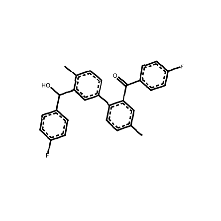 Cc1ccc(-c2ccc(C)c(C(O)c3ccc(F)cc3)c2)c(C(=O)c2ccc(F)cc2)c1